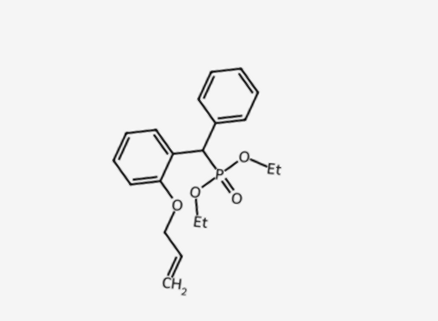 C=CCOc1ccccc1C(c1ccccc1)P(=O)(OCC)OCC